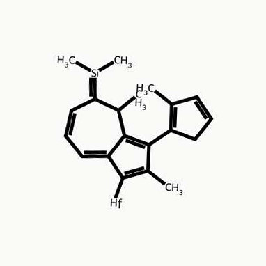 CC1=C(C2=C3C(=CC=CC(=[Si](C)C)C3C)[C]([Hf])=C2C)CC=C1